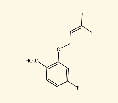 CC(C)=CCOc1cc(F)ccc1C(=O)O